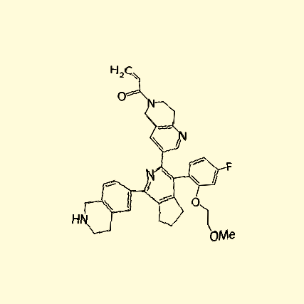 C=CC(=O)N1CCc2ncc(-c3nc(-c4ccc5c(c4)CCNC5)c4c(c3-c3ccc(F)cc3OCCOC)CCC4)cc2C1